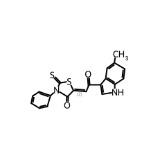 Cc1ccc2[nH]cc(C(=O)/C=C3\SC(=S)N(c4ccccc4)C3=O)c2c1